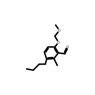 CCCCc1ccc(OCOC)c(C=O)c1C